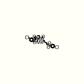 COc1ccc(Cl)cc1S(=O)(=O)N1CC[C@H](C(=O)NCC/C=C/S(=O)(=O)c2ccc(Cl)cc2)C1